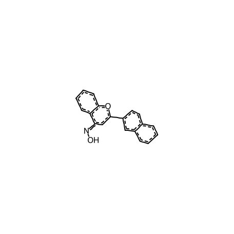 O/N=c1\cc(-c2ccc3ccccc3c2)oc2ccccc12